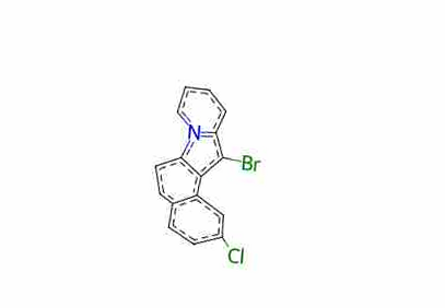 Clc1ccc2ccc3c(c(Br)c4ccccn43)c2c1